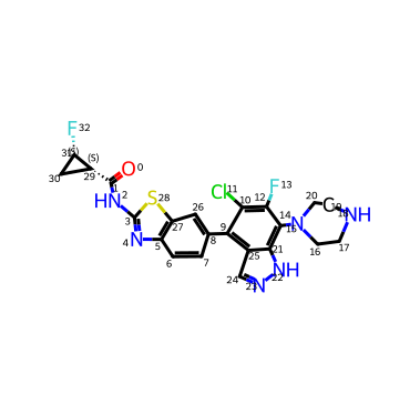 O=C(Nc1nc2ccc(-c3c(Cl)c(F)c(N4CCNCC4)c4[nH]ncc34)cc2s1)[C@@H]1C[C@@H]1F